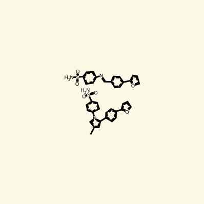 Cc1cc(-c2ccc(-c3ccco3)cc2)n(-c2ccc(S(N)(=O)=O)cc2)c1.NS(=O)(=O)c1ccc(N=Cc2ccc(-c3ccco3)cc2)cc1